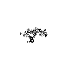 CC[C@@H]1C[C@]1(NC(=O)[C@@H]1C[C@@H](Oc2cc(OC)nc3c(Cl)cccc23)CN1C(=O)[C@@H](NC(=O)OC(C)(C)C(F)(F)F)C(C)(C)C)C(=O)NS(=O)(=O)OC1(C)CC1